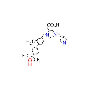 Cc1cc(CN2CCN(Cc3ccncc3)CC2CC(=O)O)ccc1-c1ccc(C(O)(C(F)(F)F)C(F)(F)F)cc1